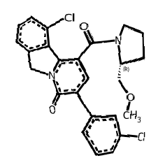 COC[C@H]1CCCN1C(=O)c1cc(-c2cccc(Cl)c2)c(=O)n2c1-c1c(Cl)cccc1C2